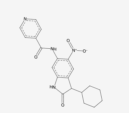 O=C(Nc1cc2c(cc1[N+](=O)[O-])C(C1CCCCC1)C(=O)N2)c1ccncc1